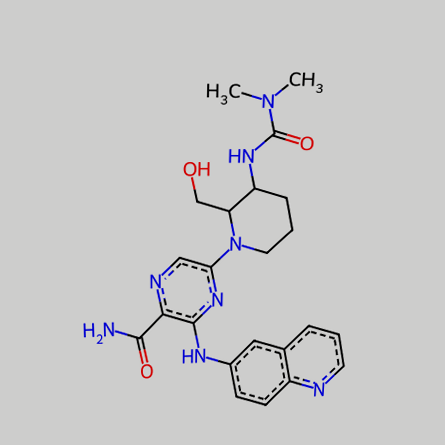 CN(C)C(=O)NC1CCCN(c2cnc(C(N)=O)c(Nc3ccc4ncccc4c3)n2)C1CO